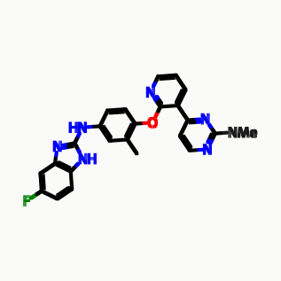 CNc1nccc(-c2cccnc2Oc2ccc(Nc3nc4cc(F)ccc4[nH]3)cc2C)n1